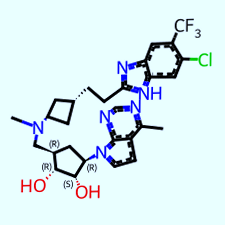 Cc1ncnc2c1ccn2[C@@H]1C[C@H](CN(C)[C@H]2C[C@@H](CCc3nc4cc(C(F)(F)F)c(Cl)cc4[nH]3)C2)[C@@H](O)[C@H]1O